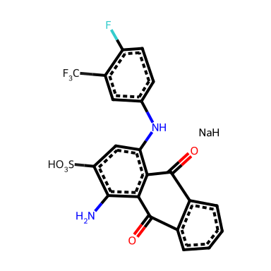 Nc1c(S(=O)(=O)O)cc(Nc2ccc(F)c(C(F)(F)F)c2)c2c1C(=O)c1ccccc1C2=O.[NaH]